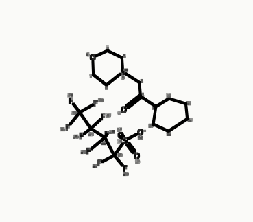 O=C(C[S+]1CCOCC1)C1CCCCC1.O=S(=O)([O-])C(F)(F)C(F)(F)C(F)(F)C(F)(F)F